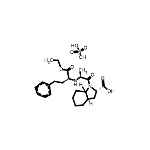 CCOC(=O)[C@H](CCc1ccccc1)N[C@@H](C)C(=O)N1[C@H](C(=O)O)C[C@H]2CCCC[C@@H]21.O=S(=O)(O)O